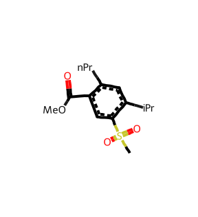 CCCc1cc(C(C)C)c(S(C)(=O)=O)cc1C(=O)OC